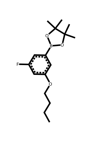 CCCCOc1cc(F)cc(B2OC(C)(C)C(C)(C)O2)c1